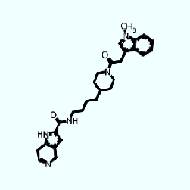 Cn1cc(CC(=O)N2CCC(CCCCNC(=O)c3cc4c([nH]3)CC=NC4)CC2)c2ccccc21